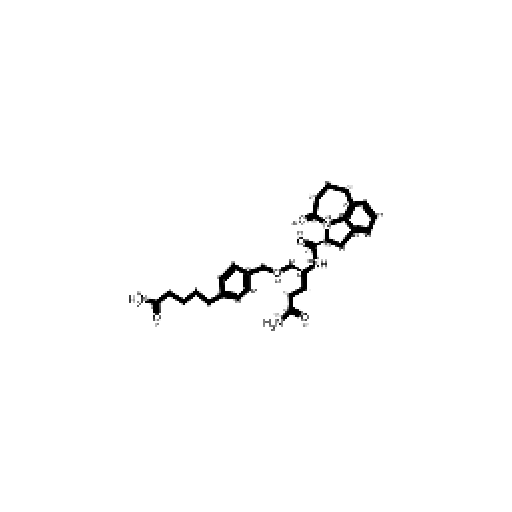 NC(=O)CCCCc1ccc(COC[C@H](CCC(N)=O)NC(=O)[C@@H]2Cc3cccc4c3N2C(=O)CCC4)cc1